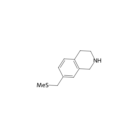 CSCc1ccc2c(c1)CNCC2